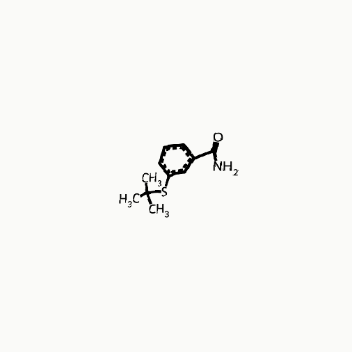 CC(C)(C)Sc1cccc(C(N)=O)c1